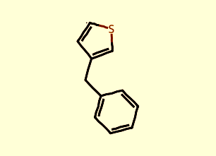 [c]1cc(Cc2ccccc2)cs1